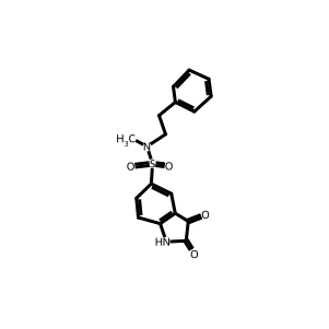 CN(CCc1ccccc1)S(=O)(=O)c1ccc2c(c1)C(=O)C(=O)N2